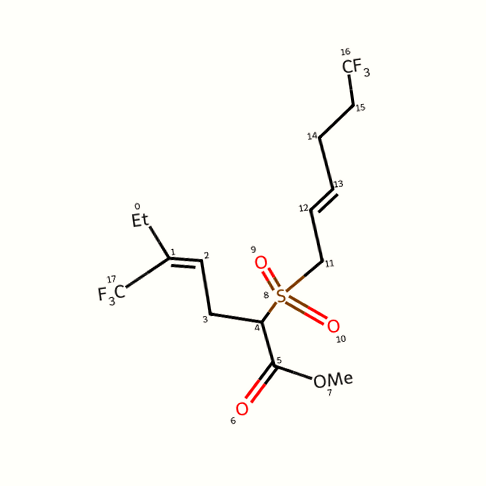 CCC(=CCC(C(=O)OC)S(=O)(=O)CC=CCCC(F)(F)F)C(F)(F)F